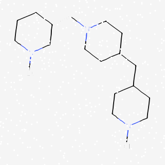 CCN1CCC[C@H](CN2CCC(CC3CCN(C)CC3)CC2)C1